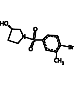 Cc1cc(S(=O)(=O)N2CC[C@@H](O)C2)ccc1Br